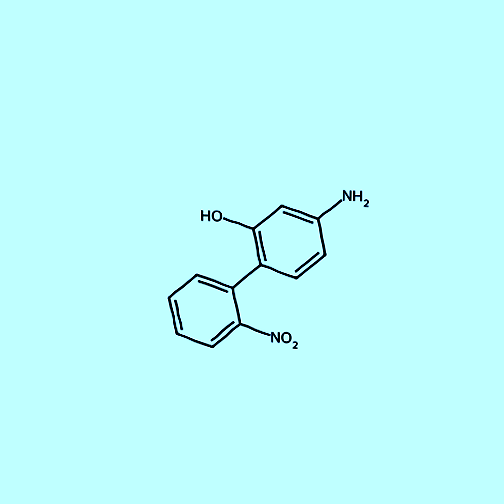 Nc1ccc(-c2ccccc2[N+](=O)[O-])c(O)c1